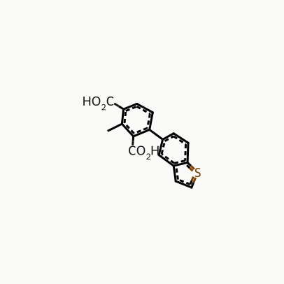 Cc1c(C(=O)O)ccc(-c2ccc3sccc3c2)c1C(=O)O